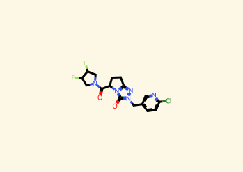 O=C(C1CCc2nn(Cc3ccc(Cl)nc3)c(=O)n21)N1CC(F)C(F)C1